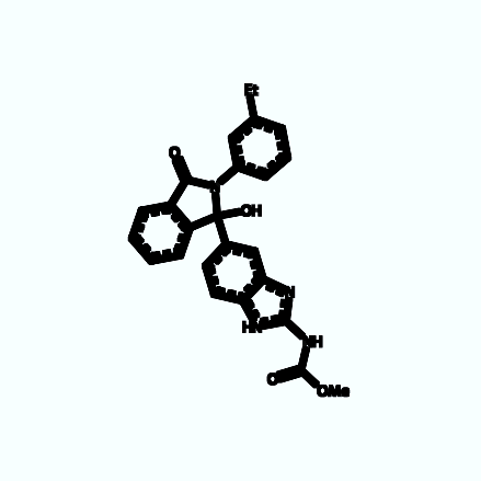 CCc1cccc(N2C(=O)c3ccccc3C2(O)c2ccc3[nH]c(NC(=O)OC)nc3c2)c1